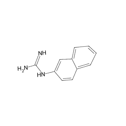 N=C(N)Nc1ccc2ccccc2c1